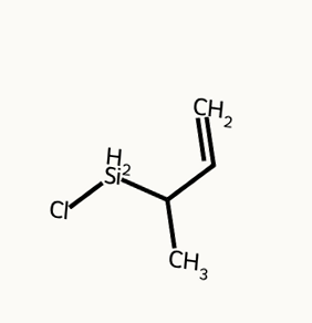 C=CC(C)[SiH2]Cl